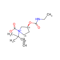 C#C[C@H]1C[C@H](OC(=O)NCC)C[N+]1(C(=O)[O-])C(C)(C)C